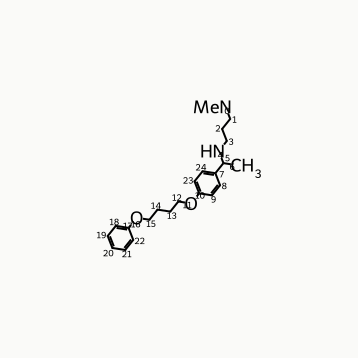 CNCCCNC(C)c1ccc(OCCCCOc2ccccc2)cc1